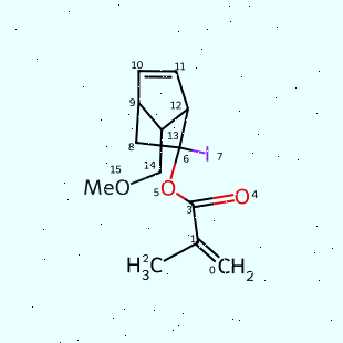 C=C(C)C(=O)OC1(I)CC2C=CC1C2COC